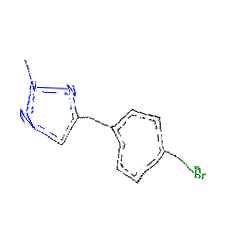 Cn1ncc(-c2ccc(Br)cc2)n1